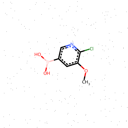 COc1cc(B(O)O)cnc1Cl